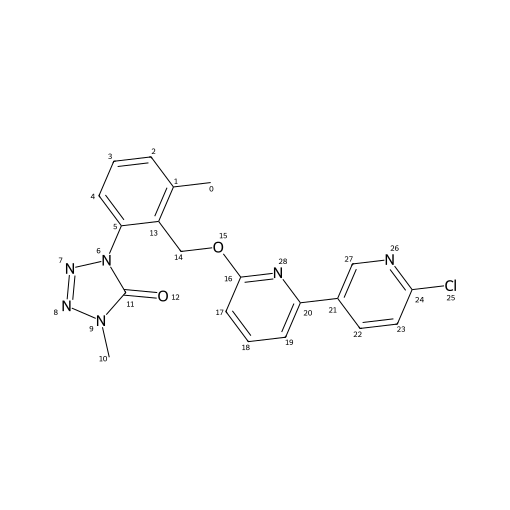 Cc1cccc(-n2nnn(C)c2=O)c1COc1cccc(-c2ccc(Cl)nc2)n1